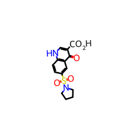 O=C(O)c1c[nH]c2ccc(S(=O)(=O)N3CCCC3)cc2c1=O